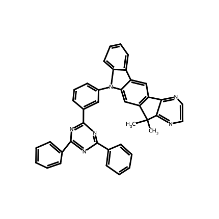 CC1(C)c2cc3c(cc2-c2nccnc21)c1ccccc1n3-c1cccc(-c2nc(-c3ccccc3)nc(-c3ccccc3)n2)c1